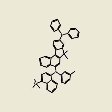 Cc1cccc(N(c2ccc([Si](C)(C)C)c3ccccc23)c2cc3c(c4ccccc24)-c2ccc(N(c4ccccc4)c4ccccc4)cc2C3(C)C)c1